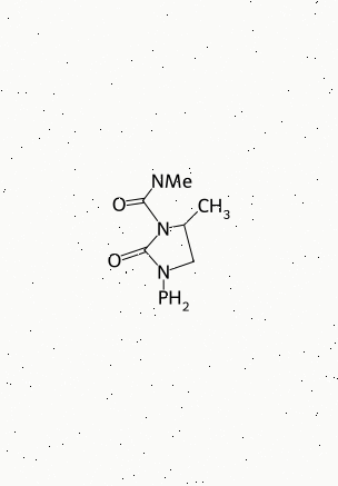 CNC(=O)N1C(=O)N(P)CC1C